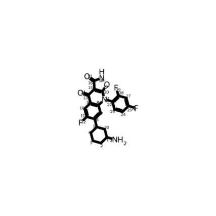 NC1CCCC(c2cc3c(cc2F)c(=O)c2c(=O)[nH]oc2n3-c2ccc(F)cc2F)C1